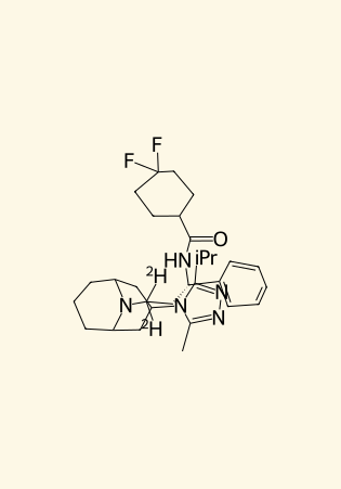 [2H]C([2H])(C[C@H](NC(=O)C1CCC(F)(F)CC1)c1ccccc1)N1C2CCCC1CC(n1c(C)nnc1C(C)C)C2